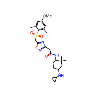 COc1cc(C)c(S(=O)(=O)Cc2nc(CC(=O)NC3CCC(NC4CC4)CC3(C)C)no2)c(C)c1